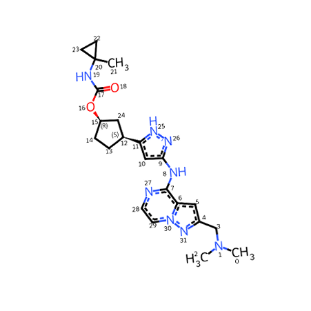 CN(C)Cc1cc2c(Nc3cc([C@H]4CC[C@@H](OC(=O)NC5(C)CC5)C4)[nH]n3)nccn2n1